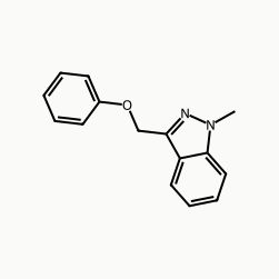 Cn1nc(COc2ccccc2)c2ccccc21